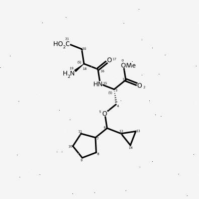 COC(=O)[C@H](COC(C1CCCC1)C1CC1)NC(=O)[C@@H](N)CC(=O)O